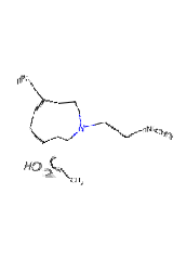 CC(=O)O.CCCCCCCCCCCN1CCCC(CCC)C1